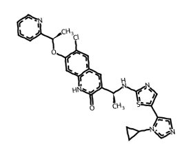 C[C@H](Nc1ncc(-c2cncn2C2CC2)s1)c1cc2cc(Cl)c(O[C@H](C)c3ccccn3)cc2[nH]c1=O